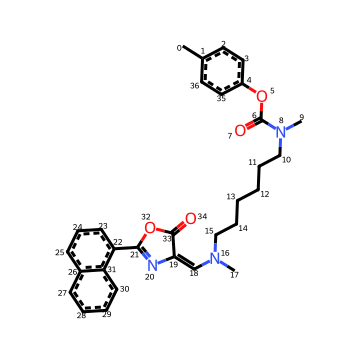 Cc1ccc(OC(=O)N(C)CCCCCCN(C)/C=C2/N=C(c3cccc4ccccc34)OC2=O)cc1